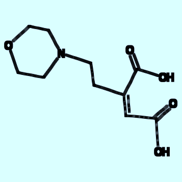 O=C(O)C=C(CCN1CCOCC1)C(=O)O